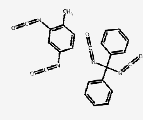 Cc1ccc(N=C=O)cc1N=C=O.O=C=NC(N=C=O)(c1ccccc1)c1ccccc1